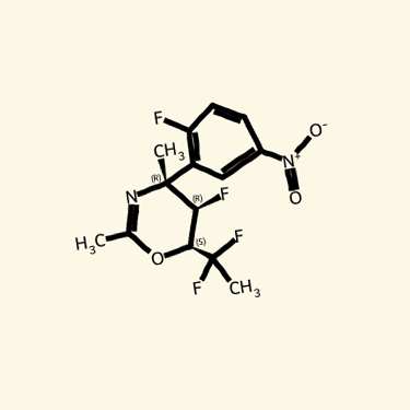 CC1=N[C@](C)(c2cc([N+](=O)[O-])ccc2F)[C@@H](F)[C@@H](C(C)(F)F)O1